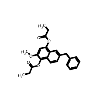 CCC(=O)Oc1cc(OC)c(OC(=O)CC)c2ccc(Cc3ccccc3)cc12